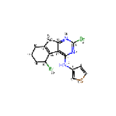 Brc1nc(Nc2ccsc2)c2c3c([se]c2n1)CCCC3Br